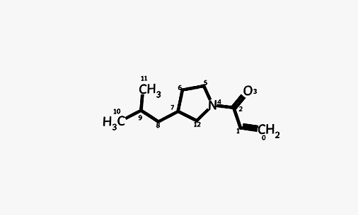 C=CC(=O)N1CCC(CC(C)C)C1